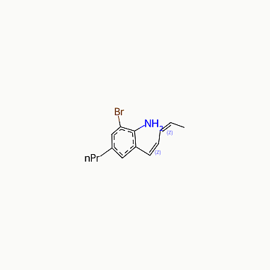 C/C=C\C=C/c1cc(CCC)cc(Br)c1N